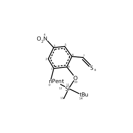 CCCCCc1cc([N+](=O)[O-])cc(C=S)c1O[Si](C)(C)C(C)(C)C